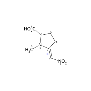 CN1/C(=C/[N+](=O)[O-])CCC1C(=O)O